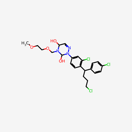 COCCOCN1C(O)C=NN(c2ccc([C](CCCCl)c3ccc(Cl)cc3)c(Cl)c2)C1O